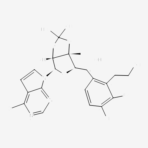 CC1(C)O[C@H]2[C@@H](O1)[C@H](n1ccc3c(Cl)ncnc31)O[C@@H]2[C@H](O)c1ccc(Cl)c(F)c1CCO